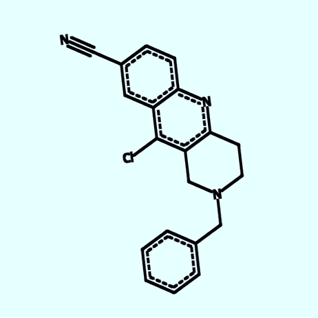 N#Cc1ccc2nc3c(c(Cl)c2c1)CN(Cc1ccccc1)CC3